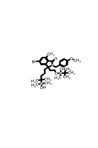 COc1ccc(CN2C(=O)c3c(C)cc(Br)cc3C2(CCCC(C)(C)[Si](C)(C)O)CCO[Si](C)(C)C(C)(C)C)cc1